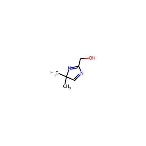 CC1(C)C=NC(CO)=N1